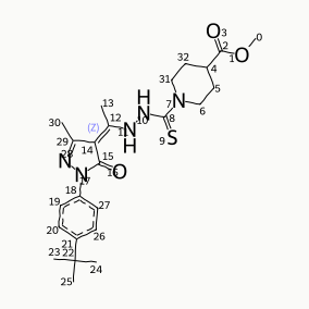 COC(=O)C1CCN(C(=S)NN/C(C)=C2\C(=O)N(c3ccc(C(C)(C)C)cc3)N=C2C)CC1